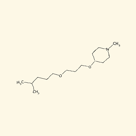 CC(C)CCCOCCCOC1CCN(C)CC1